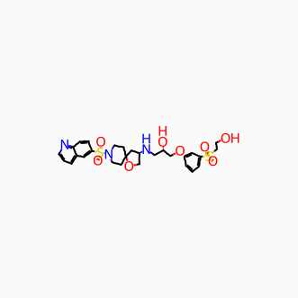 O=S(=O)(CCO)c1cccc(OC[C@@H](O)CN[C@H]2COC3(CCN(S(=O)(=O)c4ccc5ncccc5c4)CC3)C2)c1